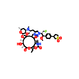 CC[C@H]1OC(=O)[C@H](C)[C@@H](O)[C@H](C)[C@@H](O[C@H]2C[C@@H](N(C)CCc3cn([C@H](CF)[C@H](OC)c4ccc(C5CCS(=O)(=O)C5)cc4)nn3)C[C@@H](C)O2)[C@](C)(OC)C[C@@H](C)C(=O)[C@H](C)[C@H]2NC(=O)O[C@@]21C